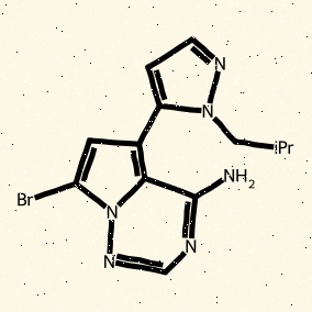 CC(C)Cn1nccc1-c1cc(Br)n2ncnc(N)c12